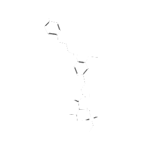 CCS(=O)(=O)NC(C(=O)NCCc1ccc(OCCOc2ccc(F)cc2)c(OC)c1)C(C)C